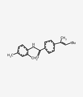 C/C(=C\C(C)(C)C)c1ccc(C(=O)Nc2ccc(C)cc2C)cc1